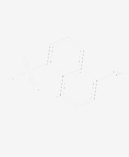 Nc1cccc2c(S(=O)(=O)[O-])cccc12.[Li+]